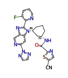 N#Cc1cnc(C(=O)N[C@H]2CCC[C@@H](n3c(-c4ncccc4F)nc4cnc(-n5nccn5)cc43)C2)s1